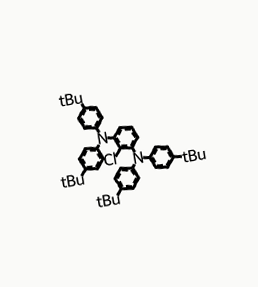 CC(C)(C)c1ccc(N(c2ccc(C(C)(C)C)cc2)c2cccc(N(c3ccc(C(C)(C)C)cc3)c3ccc(C(C)(C)C)cc3)c2Cl)cc1